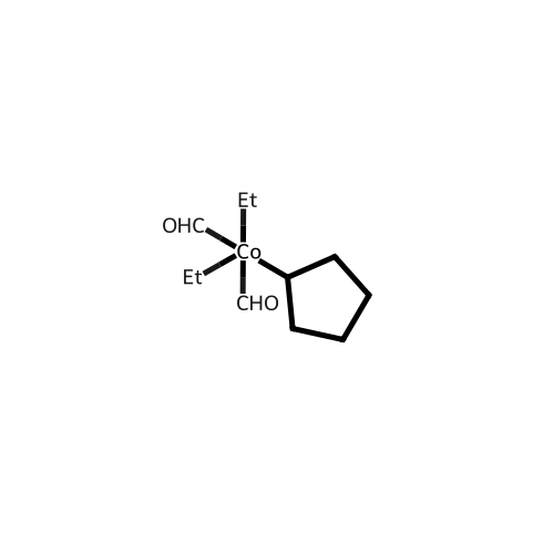 C[CH2][Co]([CH]=O)([CH]=O)([CH2]C)[CH]1CCCC1